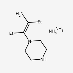 CC/C(N)=C(/CC)N1CCNCC1.N.N